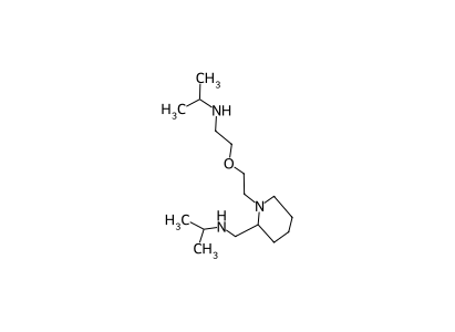 CC(C)NCCOCCN1CCCCC1CNC(C)C